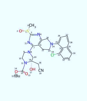 C[S+]([O-])c1nc2c(c(N3CCN(C(=O)OC(C)(C)C)[C@](O)(CC#N)C3)n1)CCN(c1cccc3cccc(Cl)c13)C2